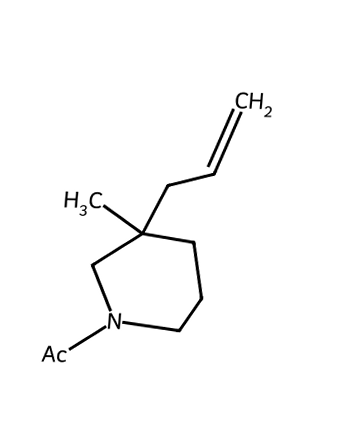 C=CCC1(C)CCCN(C(C)=O)C1